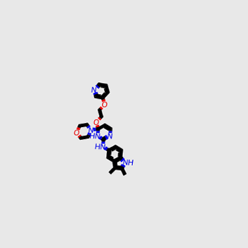 Cc1[nH]c2ccc(NC3=NC=CC(OCCOc4cccnc4)(N4CCOCC4)N3)cc2c1C